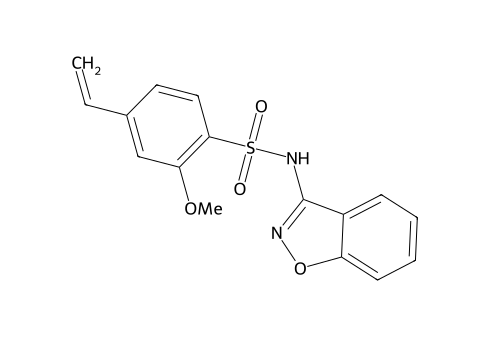 C=Cc1ccc(S(=O)(=O)Nc2noc3ccccc23)c(OC)c1